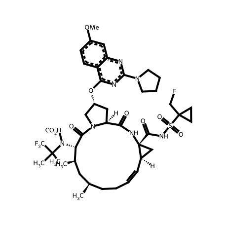 COc1ccc2c(O[C@@H]3C[C@H]4C(=O)N[C@]5(C(=O)NS(=O)(=O)C6(CF)CC6)C[C@H]5/C=C\CC[C@@H](C)C[C@@H](C)[C@H](N(C(=O)O)C(C)(C)C(F)(F)F)C(=O)N4C3)nc(N3CCCC3)nc2c1